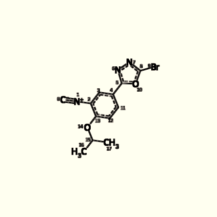 [C-]#[N+]c1cc(-c2nnc(Br)o2)ccc1OC(C)C